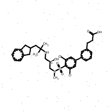 CN(C[C@H](O)CNC(C)(C)CC1Cc2ccccc2C1)S(=O)(=O)c1c(Cl)cc(-c2cccc(CCC(=O)O)c2)cc1Cl